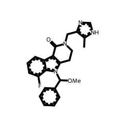 COC(c1ccccc1)n1c2c(c3cccc(F)c31)C(=O)N(Cc1nc[nH]c1C)CC2